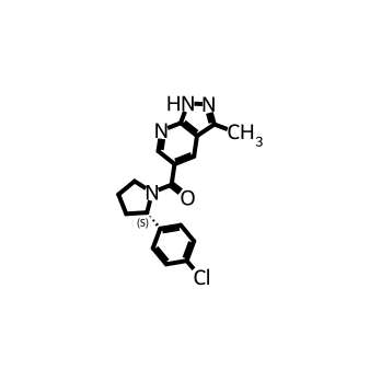 Cc1n[nH]c2ncc(C(=O)N3CCC[C@H]3c3ccc(Cl)cc3)cc12